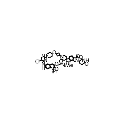 CNC(=O)COc1cc2cc(Nc3nc(N4CCC(OC5CC(N6CCC(F)(c7ccc8c(c7F)CN([C@@H]7CCC(=O)NC7=O)C8=O)CC6)C5)CC4)ncc3Cl)ccc2n(C(C)C)c1=O